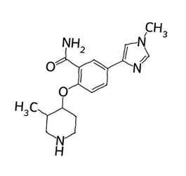 CC1CNCCC1Oc1ccc(-c2cn(C)cn2)cc1C(N)=O